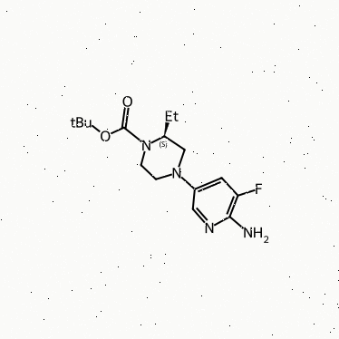 CC[C@H]1CN(c2cnc(N)c(F)c2)CCN1C(=O)OC(C)(C)C